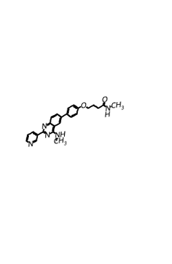 CNC(=O)CCCOc1ccc(-c2ccc3nc(-c4cccnc4)nc(NC)c3c2)cc1